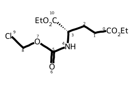 CCOC(=O)CC[C@H](NC(=O)OCCl)C(=O)OCC